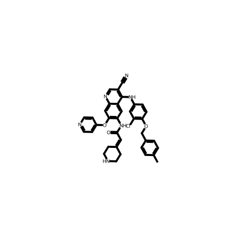 Cc1ccc(COc2ccc(Nc3c(C#N)cnc4cc(Oc5ccncc5)c(NC(=O)C=C5CCNCC5)cc34)cc2Cl)cc1